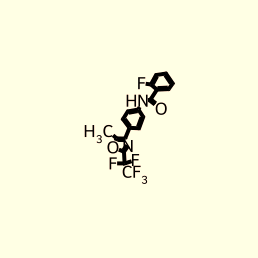 Cc1oc(C(F)(F)C(F)(F)F)nc1-c1ccc(NC(=O)c2ccccc2F)cc1